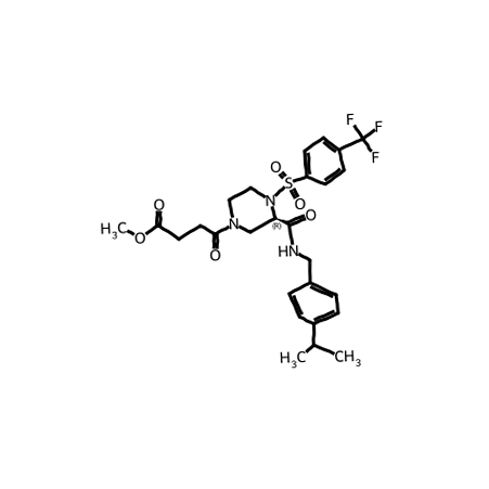 COC(=O)CCC(=O)N1CCN(S(=O)(=O)c2ccc(C(F)(F)F)cc2)[C@@H](C(=O)NCc2ccc(C(C)C)cc2)C1